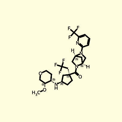 CO[C@@H]1COCC[C@@H]1N[C@@H]1CC[C@](CC(F)(F)F)(C(=O)N2C[C@@H]3C[C@H]2CN3c2cccc(C(F)(F)F)n2)C1